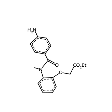 CCOC(=O)COc1ccccc1N(C)C(=O)c1ccc(N)cc1